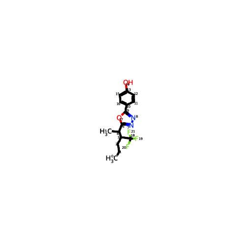 CCC[C](C(C)c1nnc(-c2ccc(O)cc2)o1)C(F)(F)F